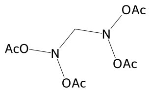 CC(=O)ON(CN(OC(C)=O)OC(C)=O)OC(C)=O